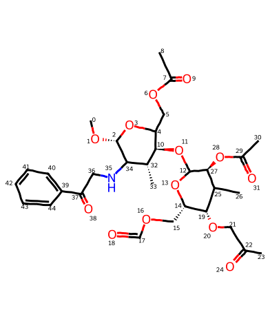 CO[C@@H]1OC(COC(C)=O)[C@@H](OC2O[C@@H](COC=O)[C@@H](OCC(C)=O)C(C)[C@@H]2OC(C)=O)[C@H](C)C1NCC(=O)c1ccccc1